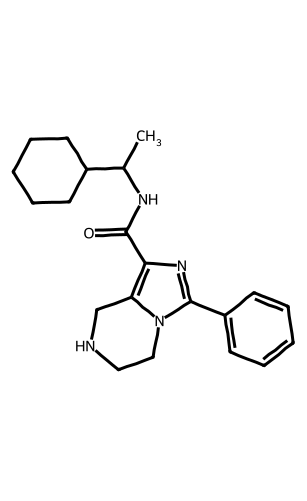 CC(NC(=O)c1nc(-c2ccccc2)n2c1CNCC2)C1CCCCC1